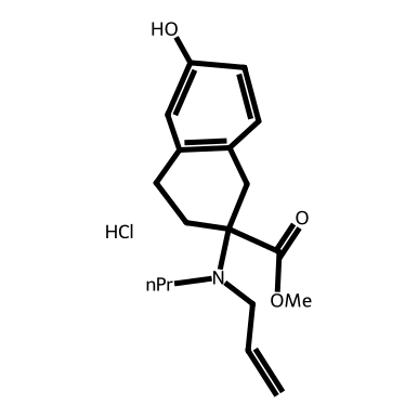 C=CCN(CCC)C1(C(=O)OC)CCc2cc(O)ccc2C1.Cl